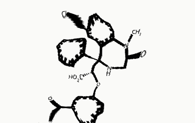 COC(=O)c1cccc(O[C@H](C(=O)O)[C@@]2(c3ccccc3)NCC(=O)N(C)c3ccc(Cl)cc32)c1